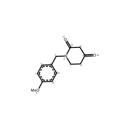 COc1ccc(CN2CCC(=O)CC2=O)cc1